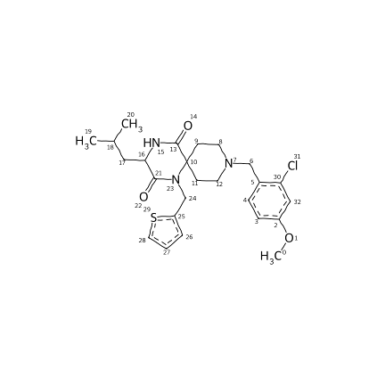 COc1ccc(CN2CCC3(CC2)C(=O)NC(CC(C)C)C(=O)N3Cc2cccs2)c(Cl)c1